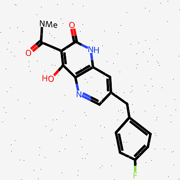 CNC(=O)c1c(O)c2ncc(Cc3ccc(F)cc3)cc2[nH]c1=O